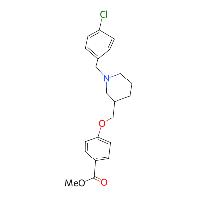 COC(=O)c1ccc(OCC2CCCN(Cc3ccc(Cl)cc3)C2)cc1